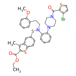 CCOC(=O)c1sc2ccc(SN(CCc3ccccc3OC)c3ccccc3N3CCN(C(=O)c4sccc4Br)CC3)cc2c1C